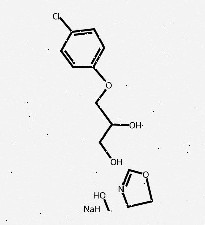 C1=NCCO1.OCC(O)COc1ccc(Cl)cc1.[CH2]O.[NaH]